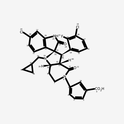 O=C(O)c1cccc(N2CC[C@H]3[C@@H](C2=O)[C@H](c2cccc(Cl)c2F)[C@]2(C(=O)Nc4cc(Cl)ccc42)N3CC2CC2)c1